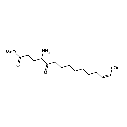 CCCCCCCC/C=C\CCCCCCCC(=O)C(N)CCC(=O)OC